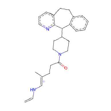 C=CN/C=C(\C)CCC(=O)N1CCC(C2c3ccccc3CCc3cccnc32)CC1